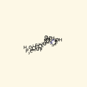 Cc1ccc(Oc2c(F)cc(COc3cc(C4=C/CC#C[C@H](O)/C=C\4)n(C)c(=O)n3)cc2F)cc1C(F)(F)F